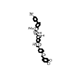 COC(=O)[C@H](Cc1ccc(-c2ccc(C#N)cc2)cc1)NC(=O)C1Cc2cc3c(cc2CN1)O[C@@H](c1ccc(OCc2ccc(Cl)c(Cl)c2)cc1)CN3